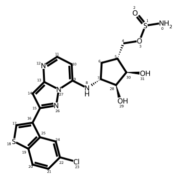 NS(=O)OC[C@H]1C[C@@H](Nc2ccnc3cc(-c4csc5ccc(Cl)cc45)nn23)[C@H](O)[C@@H]1O